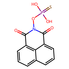 O=C1c2cccc3cccc(c23)C(=O)N1OP(O)(O)=S